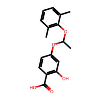 Cc1cccc(C)c1OC(C)Oc1ccc(C(=O)O)c(O)c1